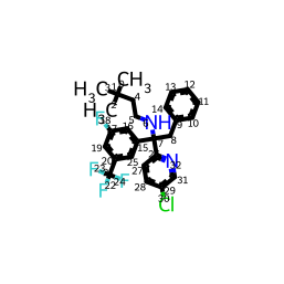 CC(C)(C)CCNC(Cc1ccccc1)(c1cc(F)cc(C(F)(F)F)c1)c1ccc(Cl)cn1